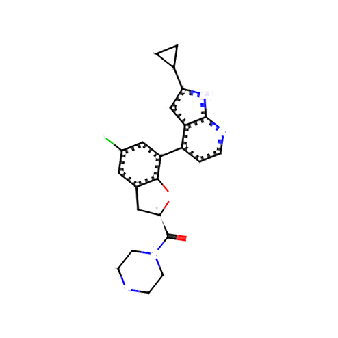 O=C([C@H]1Cc2cc(Cl)cc(-c3ccnc4[nH]c(C5CC5)cc34)c2O1)N1CCNCC1